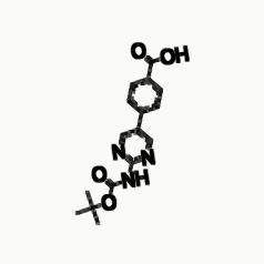 CC(C)(C)OC(=O)Nc1ncc(-c2ccc(C(=O)O)cc2)cn1